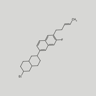 CC=CCCc1cc2ccc(C3CCC4CC(CC)CCC4C3)cc2cc1F